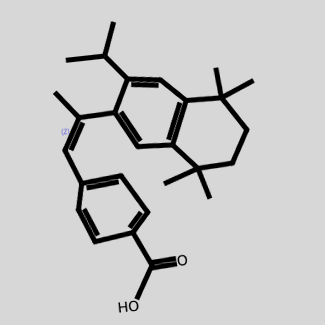 C/C(=C/c1ccc(C(=O)O)cc1)c1cc2c(cc1C(C)C)C(C)(C)CCC2(C)C